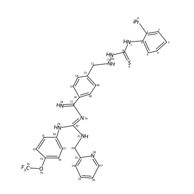 CC(C)c1ccccc1NC(=S)NNCc1ccc(C(=N)/N=C(/NCc2ccccn2)Nc2ccc(OC(F)(F)F)cc2)cc1